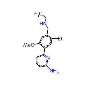 CCc1cc(-c2cccc(N)n2)c(OC)cc1CNCC(F)(F)F